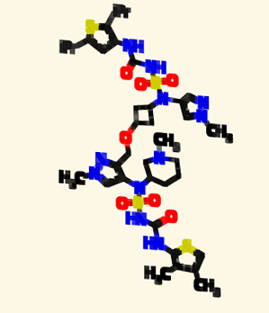 Cc1csc(NC(=O)NS(=O)(=O)N(c2cn(C)nc2COC2CC(N(c3cnn(C)c3)S(=O)(=O)NC(=O)Nc3cc(C(C)C)sc3C(C)C)C2)C2CCCN(C)C2)c1C